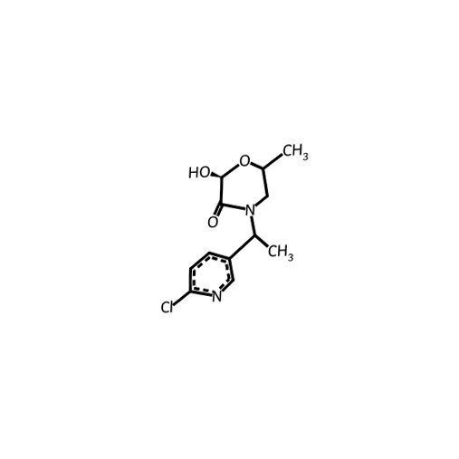 CC1CN(C(C)c2ccc(Cl)nc2)C(=O)[C@@H](O)O1